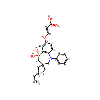 CCCCC1(CC)CN(c2ccccc2)c2ccc(O/C=C/C(=O)O)cc2S(O)(O)C1